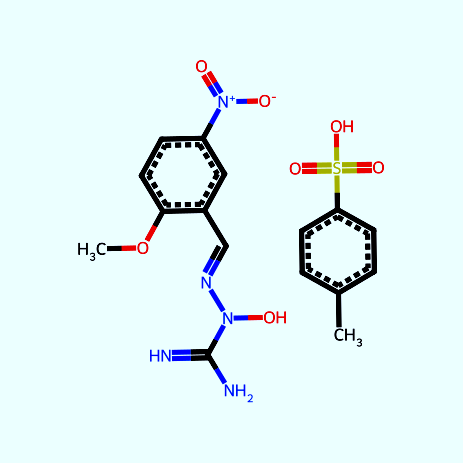 COc1ccc([N+](=O)[O-])cc1C=NN(O)C(=N)N.Cc1ccc(S(=O)(=O)O)cc1